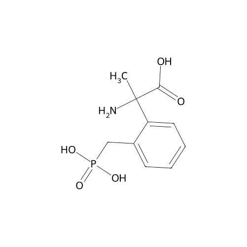 CC(N)(C(=O)O)c1ccccc1CP(=O)(O)O